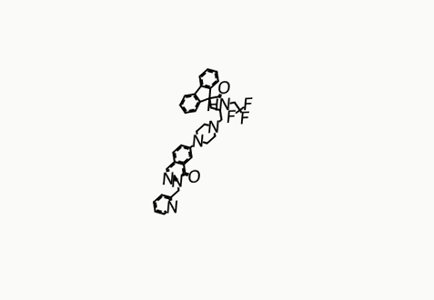 O=C(NCC(F)(F)F)C1(CCCN2CCN(c3ccc4cnn(Cc5ccccn5)c(=O)c4c3)CC2)c2ccccc2-c2ccccc21